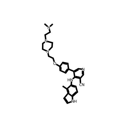 Cc1c(Nc2c(C#N)cncc2-c2ccc(OCCN3CCN(CCN(C)C)CC3)cc2)ccc2[nH]ccc12